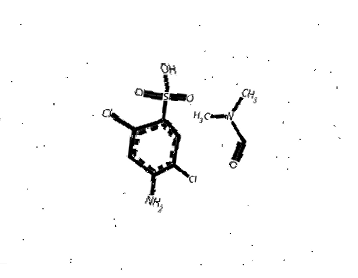 CN(C)C=O.Nc1cc(Cl)c(S(=O)(=O)O)cc1Cl